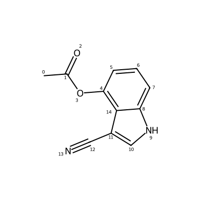 CC(=O)Oc1cccc2[nH]cc(C#N)c12